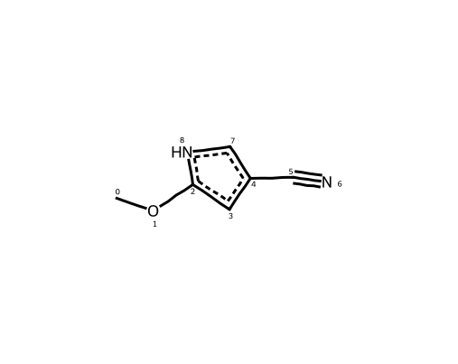 COc1cc(C#N)c[nH]1